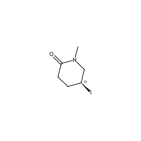 CN1C[C@@H](I)CCC1=O